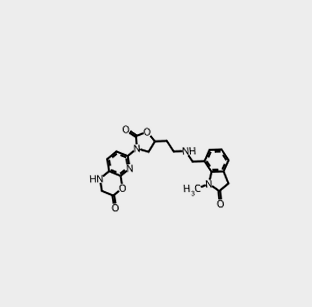 CN1C(=O)Cc2cccc(CNCCC3CN(c4ccc5c(n4)OC(=O)CN5)C(=O)O3)c21